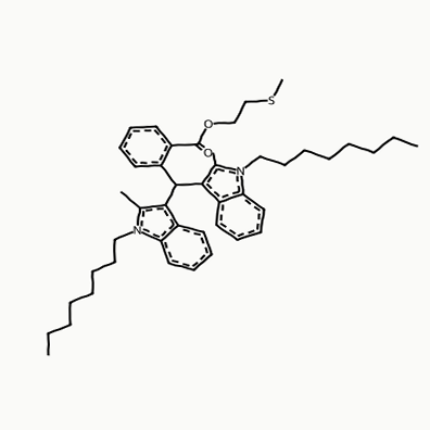 CCCCCCCCn1c(C)c(C(c2ccccc2C(=O)OCCSC)c2c(C)n(CCCCCCCC)c3ccccc23)c2ccccc21